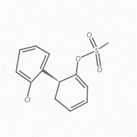 CS(=O)(=O)OC1=CC=CC[C@H]1c1ccccc1Cl